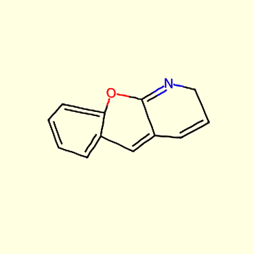 C1=CC2=Cc3ccccc3OC2=NC1